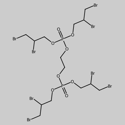 O=P(OCCOP(=O)(OCC(Br)CBr)OCC(Br)CBr)(OCC(Br)CBr)OCC(Br)CBr